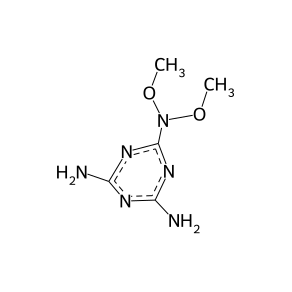 CON(OC)c1nc(N)nc(N)n1